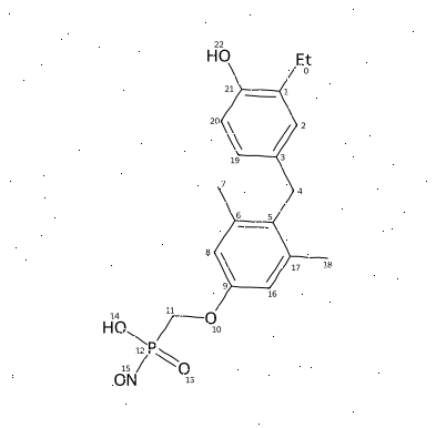 CCc1cc(Cc2c(C)cc(OCP(=O)(O)N=O)cc2C)ccc1O